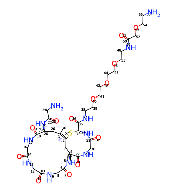 C/C1=C2/C[C@H](NC(=O)CNC(=O)CNC(=O)CNC(=O)[C@@H](NC(=O)CN)C1)C(=O)NCC(=O)NC(C(=O)NCCOCCOCCOCCNC(=O)COCCN)S2